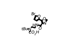 CC(C)(C)N(CCNC(=O)c1ncoc1-c1ccc(Br)o1)C(=O)O